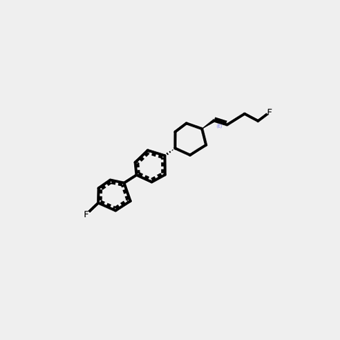 FCC/C=C/[C@H]1CC[C@H](c2ccc(-c3ccc(F)cc3)cc2)CC1